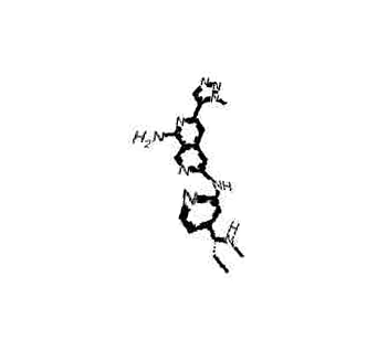 CC[C@@H](NC)c1ccnc(Nc2cc3cc(-c4cnnn4C)nc(N)c3cn2)c1